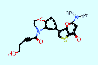 CCCN(CCC)c1cc(=O)c2scc(-c3ccc4c(c3)N(C(=O)C#CCCO)CCO4)c2o1